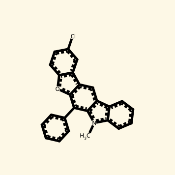 Cn1c2ccccc2c2cc3c(oc4ccc(Cl)cc43)c(-c3ccccc3)c21